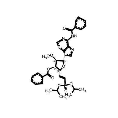 CO[C@@H]1[C@H](OC(=O)c2ccccc2)[C@@H](C=CP(=O)(OC(C)C)OC(C)C)O[C@H]1n1cnc2c(NC(=O)c3ccccc3)ncnc21